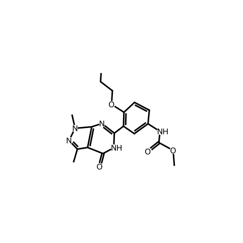 CCCOc1ccc(NC(=O)OC)cc1-c1nc2c(c(C)nn2C)c(=O)[nH]1